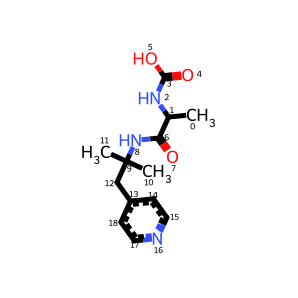 CC(NC(=O)O)C(=O)NC(C)(C)Cc1ccncc1